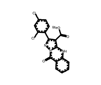 COC(=O)c1c(-c2ccc(Cl)cc2Cl)nn2c(=O)c3ccccc3[nH]c12